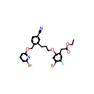 CCOC(=O)Cc1cc(F)c(Br)cc1OCCCc1cc(C#N)ccc1COc1cccc(Br)n1